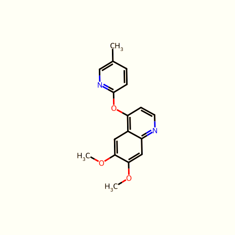 COc1cc2nccc(Oc3ccc(C)cn3)c2cc1OC